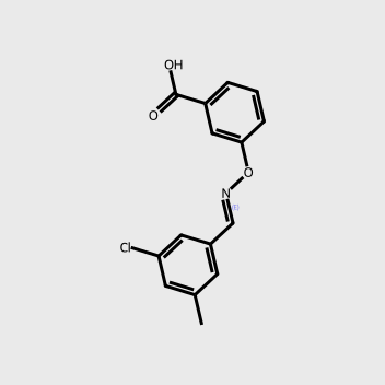 Cc1cc(Cl)cc(/C=N/Oc2cccc(C(=O)O)c2)c1